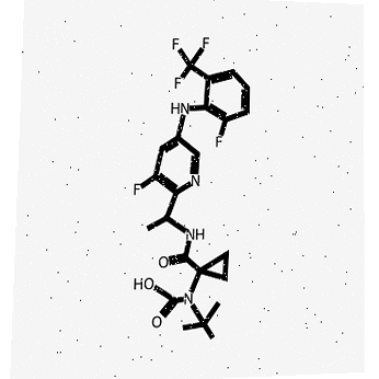 CC(NC(=O)C1(N(C(=O)O)C(C)(C)C)CC1)c1ncc(Nc2c(F)cccc2C(F)(F)F)cc1F